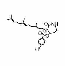 CC(C)=CCC/C(C)=C/CC/C(C)=C/CN(C1CCCCNC1=O)S(=O)(=O)c1ccc(Cl)cc1